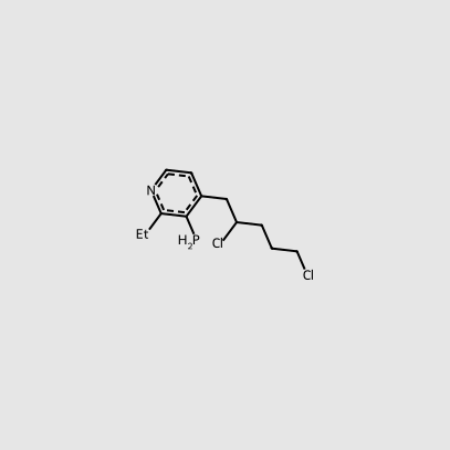 CCc1nccc(CC(Cl)CCCCl)c1P